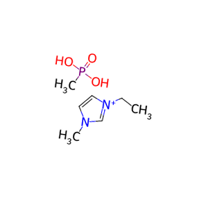 CC[n+]1ccn(C)c1.CP(=O)(O)O